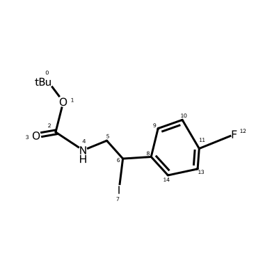 CC(C)(C)OC(=O)NCC(I)c1ccc(F)cc1